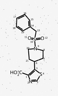 O=C(O)c1ncsc1C1CCN(S(=O)(=O)Cc2ccccc2)CC1